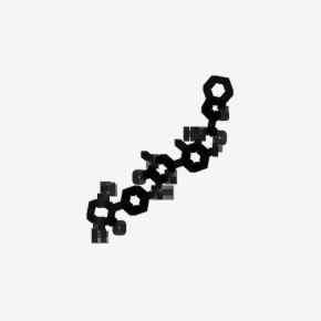 CCN1CCN(CC)C(c2ccc(Nc3nc(-c4ccc(F)c(NC(=O)c5cc6c(s5)CCCC6)c4C)cn(C)c3=O)cc2)C1=O